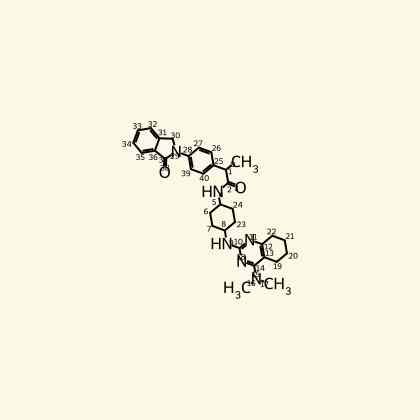 CC(C(=O)NC1CCC(Nc2nc3c(c(N(C)C)n2)CCCC3)CC1)c1ccc(N2Cc3ccccc3C2=O)cc1